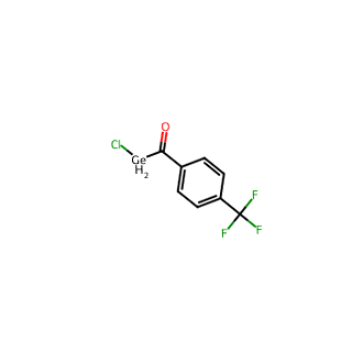 O=[C]([GeH2][Cl])c1ccc(C(F)(F)F)cc1